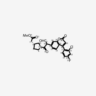 COC(=O)C[C@H]1CCN(C(=O)C(C=O)c2ccc3c(-c4ccc(F)cc4Cl)cc(=O)oc3c2)C1